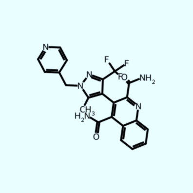 Cc1c(-c2c(C(N)=O)nc3ccccc3c2C(N)=O)c(C(F)(F)F)nn1Cc1ccncc1